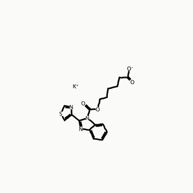 O=C([O-])CCCCCOC(=O)n1c(-c2cscn2)nc2ccccc21.[K+]